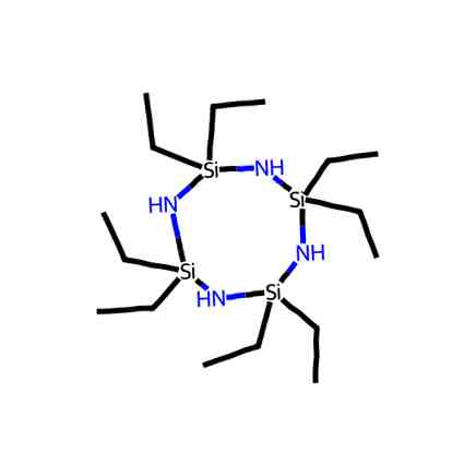 CC[Si]1(CC)N[Si](CC)(CC)N[Si](CC)(CC)N[Si](CC)(CC)N1